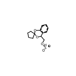 O=[SH](=O)OCC1OC2(CCCC2)Oc2ccccc21